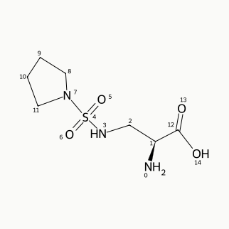 N[C@@H](CNS(=O)(=O)N1CCCC1)C(=O)O